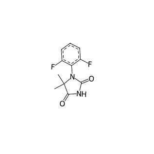 CC1(C)C(=O)NC(=O)N1c1c(F)cccc1F